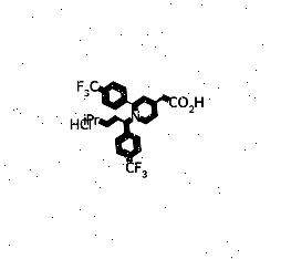 CC(C)CC[C@H](c1ccc(C(F)(F)F)cc1)N1CC[C@H](CC(=O)O)C[C@H]1c1ccc(C(F)(F)F)cc1.Cl